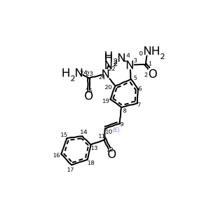 NC(=O)N(N)c1ccc(/C=C/C(=O)c2ccccc2)cc1N(N)C(N)=O